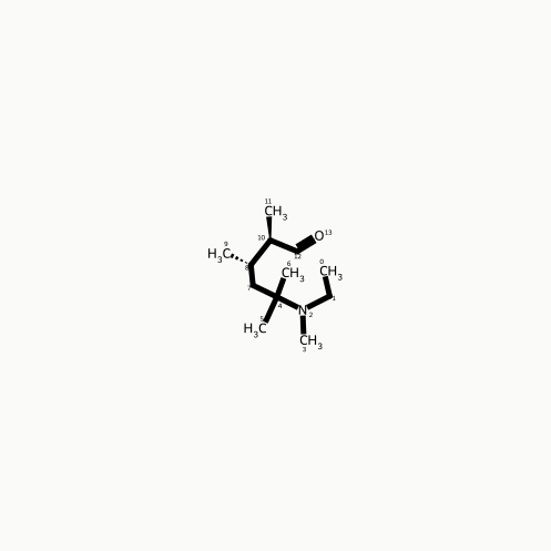 CCN(C)C(C)(C)C[C@H](C)[C@@H](C)C=O